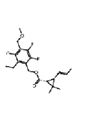 CC=C[C@@H]1[C@@H](C(=O)OCc2c(F)c(F)c(COC)c(F)c2CC)C1(C)C